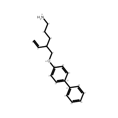 C=CC(CCCN)COc1ccc(-c2ccccc2)cc1